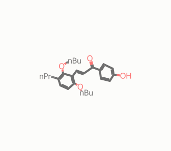 CCCCOc1ccc(CCC)c(OCCCC)c1C=CC(=O)c1ccc(O)cc1